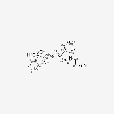 CC1(C)c2cccnc2NC1C=CC=C1C=CN(CCC#N)c2ccccc21